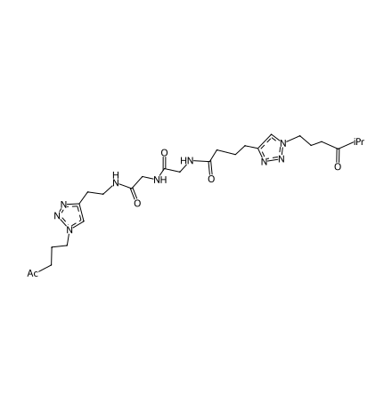 CC(=O)CCCn1cc(CCNC(=O)CNC(=O)CNC(=O)CCCc2cn(CCCC(=O)C(C)C)nn2)nn1